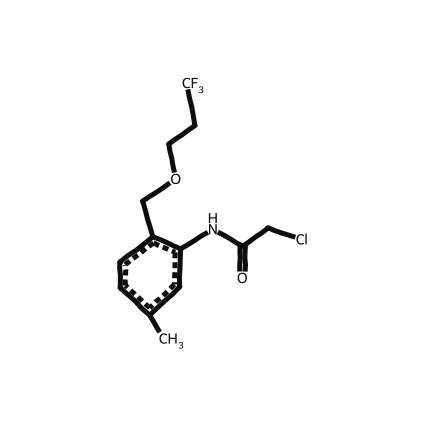 Cc1ccc(COCCC(F)(F)F)c(NC(=O)CCl)c1